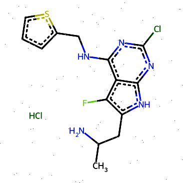 CC(N)Cc1[nH]c2nc(Cl)nc(NCc3cccs3)c2c1F.Cl